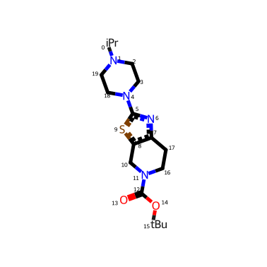 CC(C)N1CCN(c2nc3c(s2)CN(C(=O)OC(C)(C)C)CC3)CC1